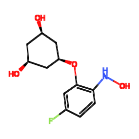 ONc1ccc(F)cc1O[C@@H]1C[C@H](O)C[C@H](O)C1